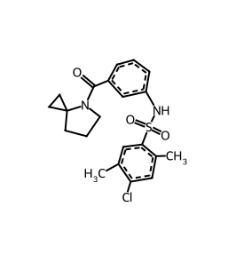 Cc1cc(S(=O)(=O)Nc2cccc(C(=O)N3CCCC34CC4)c2)c(C)cc1Cl